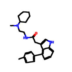 Cc1ccc(-c2cccc3[nH]cc(CC(=O)NCCN(C)C4CCCCC4)c23)cc1